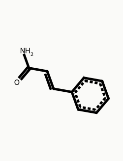 NC(=O)/C=C/c1[c]cccc1